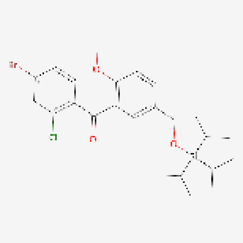 COc1ccc(CO[Si](C(C)C)(C(C)C)C(C)C)cc1C(=O)c1ccc(Br)cc1Cl